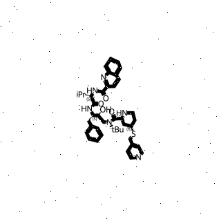 CC(C)[C@H](NC(=O)c1ccc2ccccc2n1)C(=O)N[C@@H](Cc1ccccc1)[C@H](O)CN(C(=O)C1C[C@H](SCc2ccncc2)CCN1)C(C)(C)C